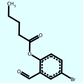 CCC[CH]C(=O)Oc1ccc(Br)cc1C=O